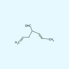 C=CCC(C=O)/C=C/C